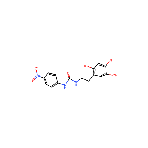 O=C(NCCc1cc(O)c(O)cc1O)Nc1ccc([N+](=O)[O-])cc1